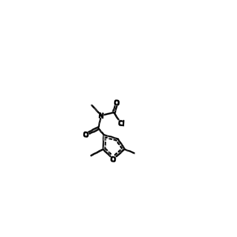 Cc1cc(C(=O)N(C)C(=O)Cl)c(C)o1